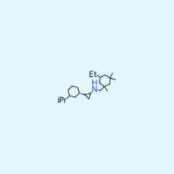 CCC1CC(C)(C)CC(C)(CNC2CC2[C@@H]2CCC[C@H](C(C)C)C2)C1